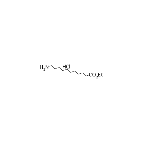 CCOC(=O)CCCCCCCCCCN.Cl